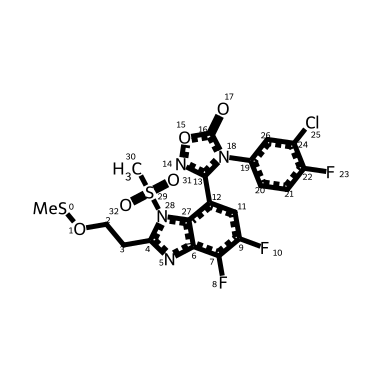 CSOCCc1nc2c(F)c(F)cc(-c3noc(=O)n3-c3ccc(F)c(Cl)c3)c2n1S(C)(=O)=O